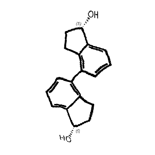 O[C@H]1CCc2c(-c3cccc4c3CC[C@@H]4O)cccc21